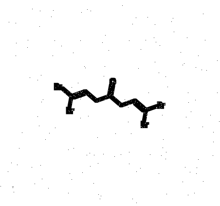 O=C(CC=C(Br)Br)CC=C(Br)Br